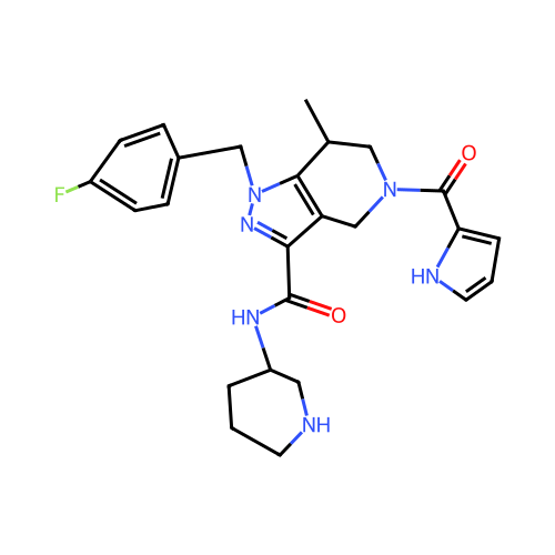 CC1CN(C(=O)c2ccc[nH]2)Cc2c(C(=O)NC3CCCNC3)nn(Cc3ccc(F)cc3)c21